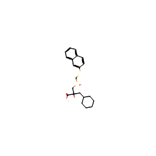 O=C(O)C(O)(CC1CCCCC1)C[PH](=O)CSc1ccc2ccccc2c1